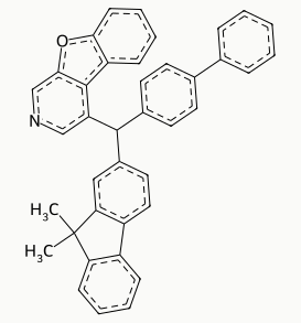 CC1(C)c2ccccc2-c2ccc(C(c3ccc(-c4ccccc4)cc3)c3cncc4oc5ccccc5c34)cc21